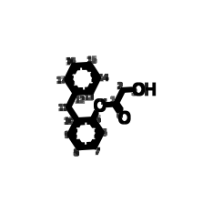 O=C(CO)Oc1ccccc1Cc1ccccc1